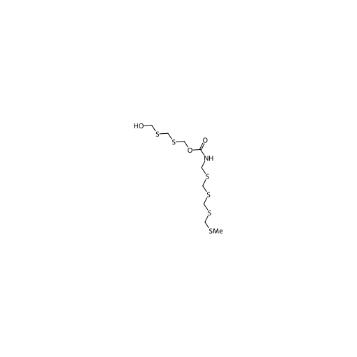 CSCSCSCSCNC(=O)OCSCSCO